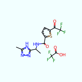 Cc1nnc(C(C)NC(=O)c2ccc(C(=O)C(F)(F)F)s2)[nH]1.O=C(O)C(F)(F)F